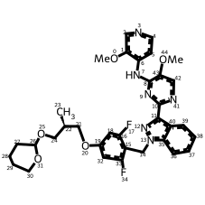 COc1cnccc1Nc1nc(-c2nn(Cc3c(F)cc(OC[C@H](C)COC4CCCCO4)cc3F)c3ccccc23)ncc1OC